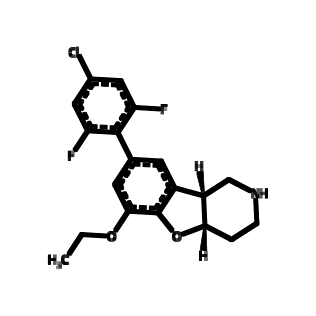 CCOc1cc(-c2c(F)cc(Cl)cc2F)cc2c1O[C@H]1CCNC[C@@H]21